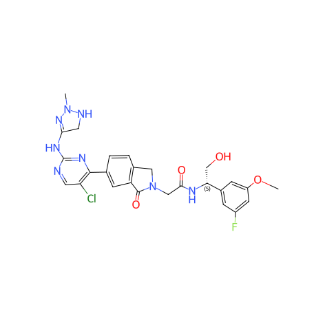 COc1cc(F)cc([C@@H](CO)NC(=O)CN2Cc3ccc(-c4nc(NC5=NN(C)NC5)ncc4Cl)cc3C2=O)c1